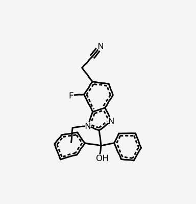 CCn1c(C(O)(c2ccccc2)c2ccccc2)nc2ccc(CC#N)c(F)c21